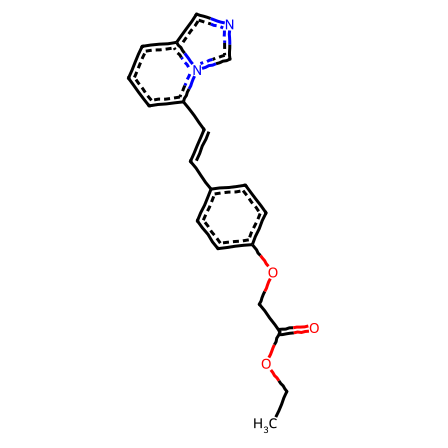 CCOC(=O)COc1ccc(C=Cc2cccc3cncn23)cc1